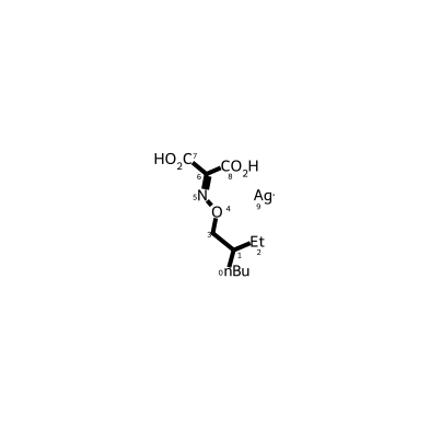 CCCCC(CC)CON=C(C(=O)O)C(=O)O.[Ag]